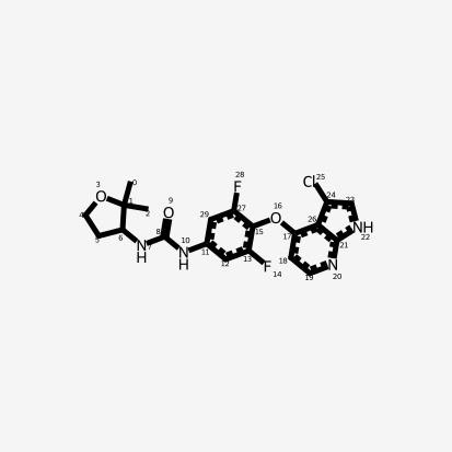 CC1(C)OCCC1NC(=O)Nc1cc(F)c(Oc2ccnc3[nH]cc(Cl)c23)c(F)c1